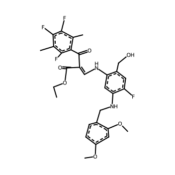 CCOC(=O)/C(=C/Nc1cc(NCc2ccc(OC)cc2OC)c(F)cc1CO)C(=O)c1c(C)c(F)c(F)c(C)c1F